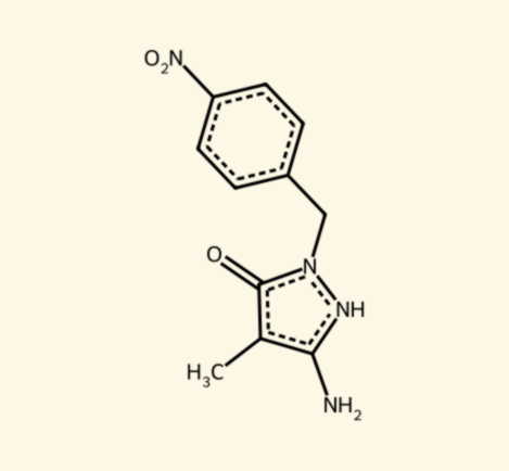 Cc1c(N)[nH]n(Cc2ccc([N+](=O)[O-])cc2)c1=O